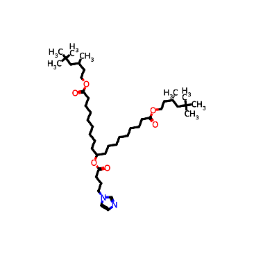 CC(CCOC(=O)CCCCCCCCC(CCCCCCCCC(=O)OCC[C@H](C)CC(C)(C)C)OC(=O)CCCn1ccnc1)CC(C)(C)C